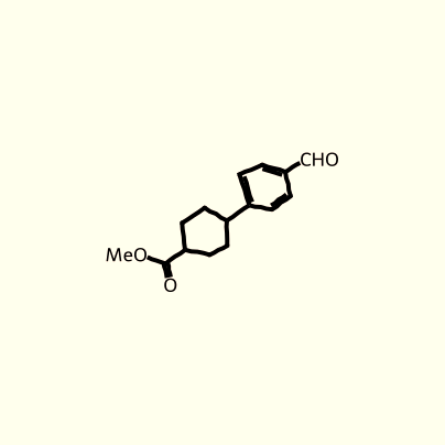 COC(=O)C1CCC(c2ccc(C=O)cc2)CC1